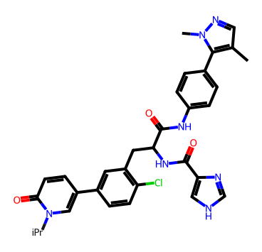 Cc1cnn(C)c1-c1ccc(NC(=O)C(Cc2cc(-c3ccc(=O)n(C(C)C)c3)ccc2Cl)NC(=O)c2c[nH]cn2)cc1